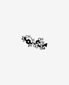 Cc1ncsc1-c1ccc(C(NC(=O)[C@@H]2C[C@@H](O)CN2C(=O)[C@@H](NC(=O)C2(F)CC2)C(C)(C)C)C(C)C)cc1